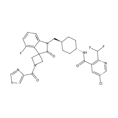 O=C(N[C@H]1CC[C@H](CN2C(=O)C3(CN(C(=O)c4cscn4)C3)c3c(F)cccc32)CC1)c1cc(Cl)cnc1C(F)F